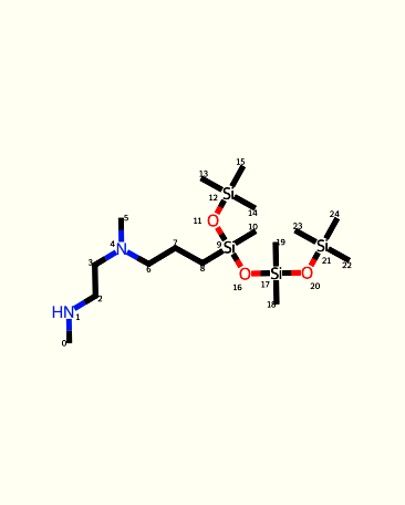 CNCCN(C)CCC[Si](C)(O[Si](C)(C)C)O[Si](C)(C)O[Si](C)(C)C